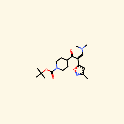 Cc1cc(/C(=C/N(C)C)C(=O)C2CCN(C(=O)OC(C)(C)C)CC2)on1